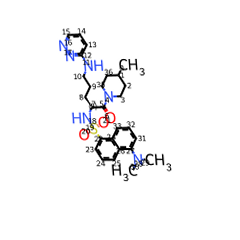 CC1CCN(C(=O)[C@H](CCCNc2cccnn2)NS(=O)(=O)c2cccc3c(N(C)C)cccc23)CC1